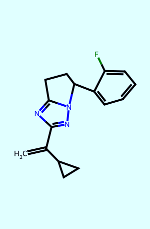 C=C(c1nc2n(n1)C(c1ccccc1F)CC2)C1CC1